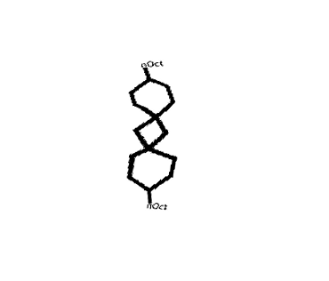 CCCCCCCCC1CCC2(CC1)CC1(CCC(CCCCCCCC)CC1)C2